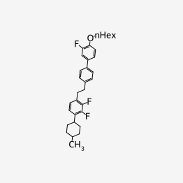 CCCCCCOc1ccc(-c2ccc(CCc3ccc(C4CCC(C)CC4)c(F)c3F)cc2)cc1F